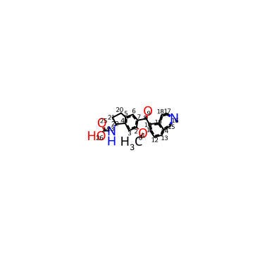 COc1cc2c(cc1C(=O)c1cccc3cnccc13)CCC2NC(=O)O